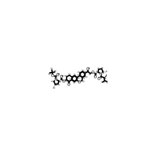 CC(C)[C@H](C)C(=O)N1[C@@H](C)CC[C@H]1C(=O)OCC(=O)c1ccc2c(c1)COc1cc3c(cc1-2)CCC(OC(=O)[C@@H]1C[C@H](C)CN1C(=O)OC(C)(C)C)C3=O